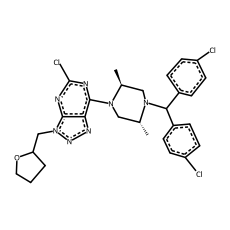 C[C@@H]1CN(c2nc(Cl)nc3c2nnn3CC2CCCO2)[C@@H](C)CN1C(c1ccc(Cl)cc1)c1ccc(Cl)cc1